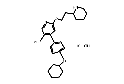 CCCCc1nnc(OCCC2CCCCN2)cc1-c1ccc(OC2CCCCC2)cc1.Cl.Cl